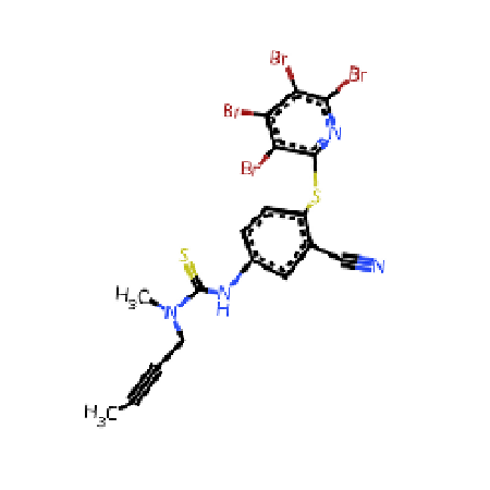 CC#CCN(C)C(=S)Nc1ccc(Sc2nc(Br)c(Br)c(Br)c2Br)c(C#N)c1